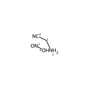 N#CCN.O=NO